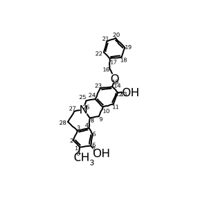 Cc1cc2c(cc1O)C1Cc3cc(O)c(OCc4ccccc4)cc3CN1CC2